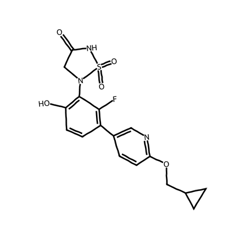 O=C1CN(c2c(O)ccc(-c3ccc(OCC4CC4)nc3)c2F)S(=O)(=O)N1